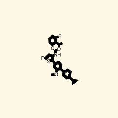 COc1cc(-c2sc(F)cc2NC(=O)OC(C)c2ccccc2F)ccc1-c1ccc(C2CC2)cc1